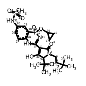 CC(C)(C)CCN1C(=O)C(C2=NP(=O)(OC3CC3)c3cc(NS(C)(=O)=O)ccc3N2)=C(O)C1C(C)(C)C